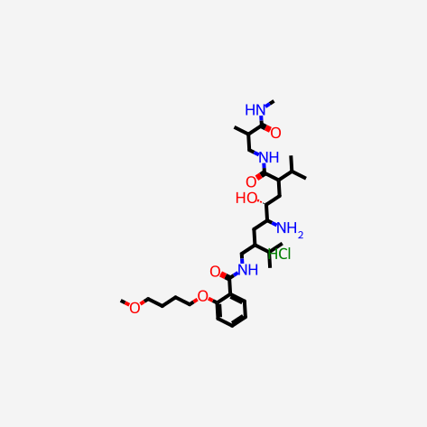 CNC(=O)C(C)CNC(=O)C(C[C@@H](O)C(N)CC(CNC(=O)c1ccccc1OCCCCOC)C(C)C)C(C)C.Cl